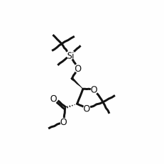 COC(=O)[C@H]1OC(C)(C)O[C@@H]1CO[Si](C)(C)C(C)(C)C